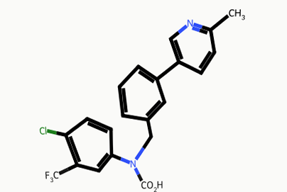 Cc1ccc(-c2cccc(CN(C(=O)O)c3ccc(Cl)c(C(F)(F)F)c3)c2)cn1